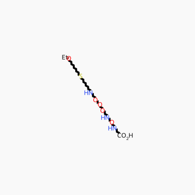 CCOCCCCCCCCCSCCCCCCCCNCCCOCCOCCOCCCNCCOCCNCCCC(=O)O